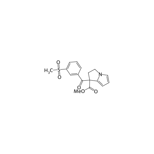 COC(=O)C1(C(=O)c2cccc(S(C)(=O)=O)c2)CCn2cccc21